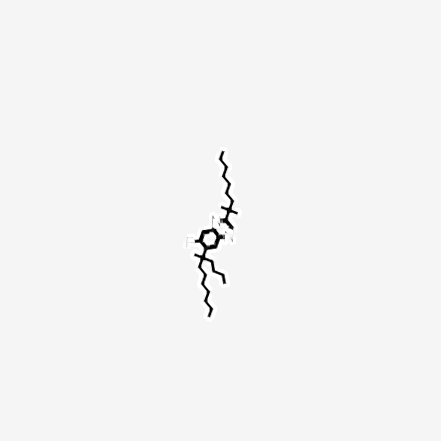 CCCCCCCC(C)(C)c1cnc2cc(C(C)(CCCC)CCCCCCC)c(F)cc2n1